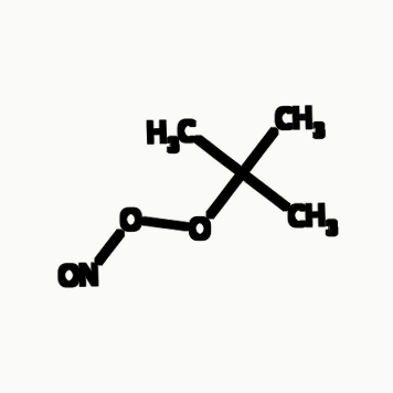 CC(C)(C)OON=O